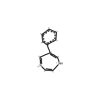 C1=CNC=C(c2ccccc2)C=N1